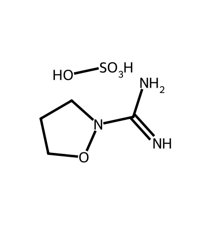 N=C(N)N1CCCO1.O=S(=O)(O)O